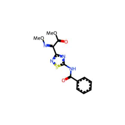 CON=C(C(=O)OC)c1nsc(NC(=O)c2ccccc2)n1